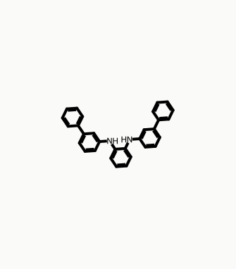 c1ccc(-c2cccc(Nc3ccccc3Nc3cccc(-c4ccccc4)c3)c2)cc1